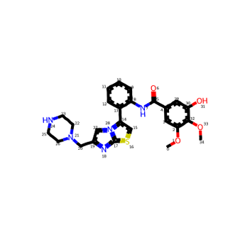 COc1cc(C(=O)Nc2ccccc2-c2csc3nc(CN4CCNCC4)cn23)cc(O)c1OC